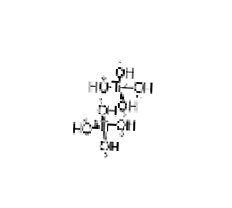 [OH][Ti]([OH])([OH])[OH].[OH][Ti]([OH])([OH])[OH]